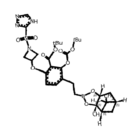 CC(C)(C)OC(=O)Oc1c(CCB2O[C@@H]3C[C@@H]4C[C@@H](C4(C)C)[C@]3(C)O2)ccc(OC2CN(S(=O)(=O)c3nnc[nH]3)C2)c1C(=O)OC(C)(C)C